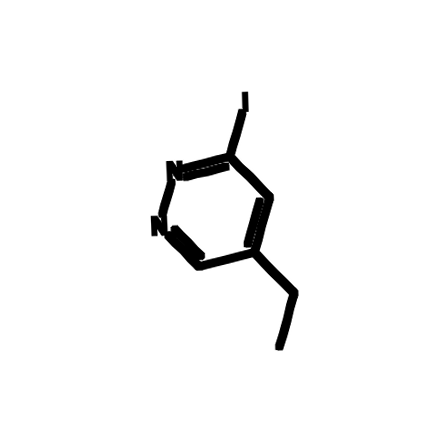 CCc1cnnc(I)c1